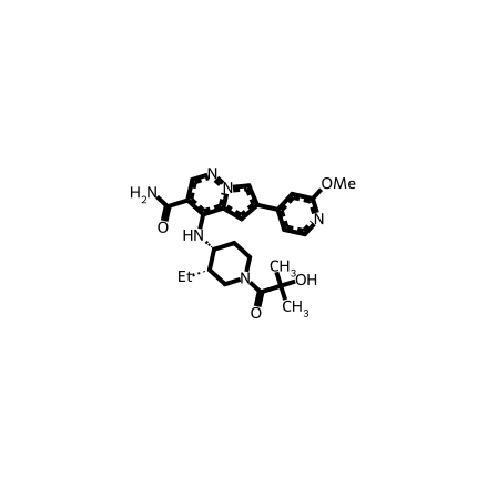 CC[C@H]1CN(C(=O)C(C)(C)O)CC[C@H]1Nc1c(C(N)=O)cnn2cc(-c3ccnc(OC)c3)cc12